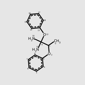 CC(Oc1ccccc1)C(N)(N)Oc1ccccc1